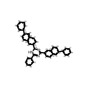 c1ccc(C2=NC(c3ccc4cc(-c5ccccc5)ccc4c3)=NC(c3ccc4cc(-c5ccccc5)ccc4c3)N2)cc1